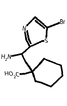 NC(c1ncc(Br)s1)C1(C(=O)O)CCCCC1